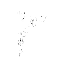 CC(C)(C)OC(=O)CCN(OCc1ccccc1)C(=O)CCCc1ccc(-n2cc(CCCF)nn2)cc1